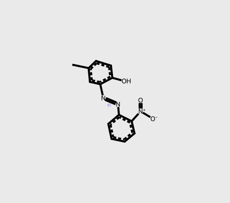 Cc1ccc(O)c(/N=N/c2ccccc2[N+](=O)[O-])c1